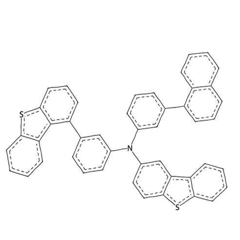 c1cc(-c2cccc3ccccc23)cc(N(c2cccc(-c3cccc4sc5ccccc5c34)c2)c2ccc3sc4ccccc4c3c2)c1